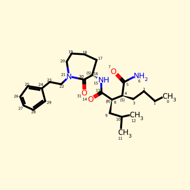 CCCC[C@H](C(N)=O)[C@@H](CC(C)C)C(=O)N[C@H]1CCCCN(CCc2ccccc2)C1=O